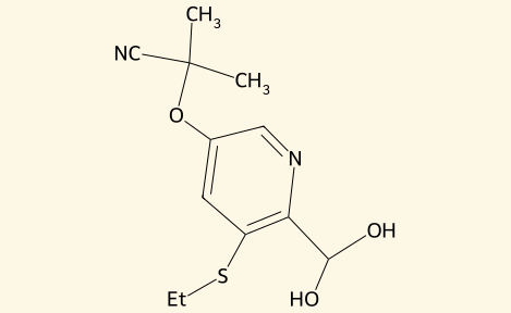 CCSc1cc(OC(C)(C)C#N)cnc1C(O)O